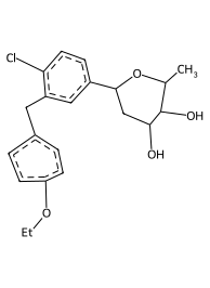 CCOc1ccc(Cc2cc(C3CC(O)C(O)C(C)O3)ccc2Cl)cc1